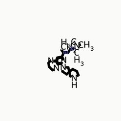 C=C/C(=C\C=C(/C)N(C)C)c1cc2c(c(N3CCC4(CCCNC4)C3)n1)=NCCCN=2